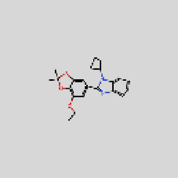 CCOc1cc(-c2nc3ccccc3n2C2CCC2)cc2c1OC(C)(C)O2